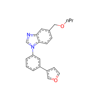 CCCOCc1ccc2c(c1)ncn2-c1cccc(-c2ccoc2)c1